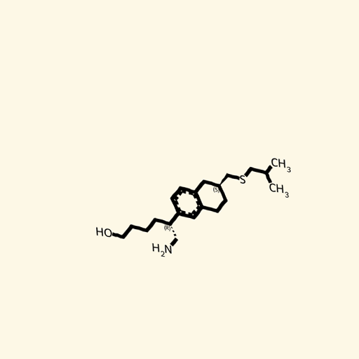 CC(C)CSC[C@H]1CCc2cc([C@H](CN)CCCCO)ccc2C1